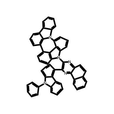 c1ccc(-n2c3ccccc3c3c(-c4nc5c(ccc6ccccc65)nc4-n4c5cccc6c7cccc8c9ccccc9n(c9cccc4c9c65)c78)cccc32)cc1